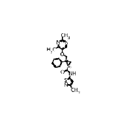 Cc1cc(NC(=O)[C@@H]2C[C@@]2(COc2cnc(C)nc2C)C2C=CC=CC2)sn1